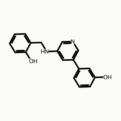 Oc1cccc(-c2cncc(NCc3ccccc3O)c2)c1